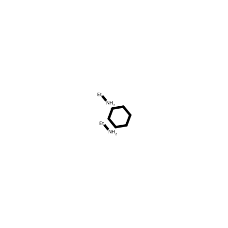 CCN.CCN.[CH]1CCCCC1